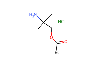 CCC(=O)OCC(C)(C)N.Cl